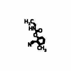 CCNC(=O)Oc1cccc(C)c1C#N